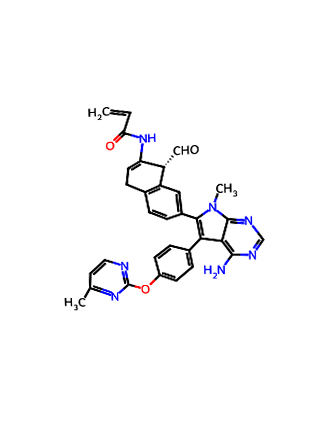 C=CC(=O)NC1=CCc2ccc(-c3c(-c4ccc(Oc5nccc(C)n5)cc4)c4c(N)ncnc4n3C)cc2[C@H]1C=O